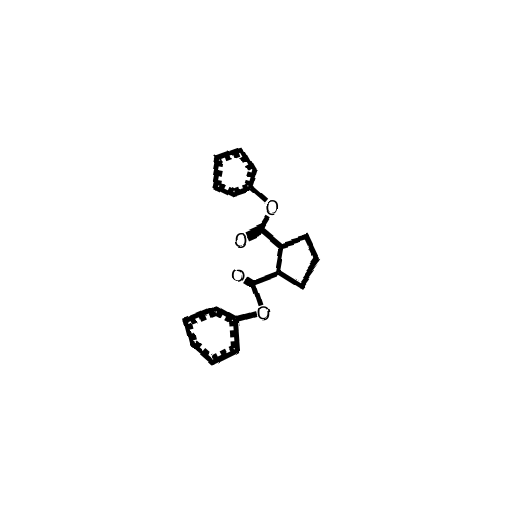 O=C(Oc1ccccc1)C1CCCC1C(=O)Oc1ccccc1